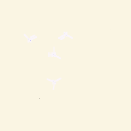 CCOC(=O)C1=C(CN2CC(F)(F)CC2C(=O)O)NC(c2nccs2)=NC1C1CCCC1